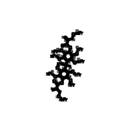 C=C(COCCC)C(=O)Oc1c(OCCC)c(OCCC)c(C(C)(C)c2c(OCCC)c(OCCC)c(OC(=O)C(=C)COCCC)c(OCCC)c2OCCC)c(OCCC)c1OCCC